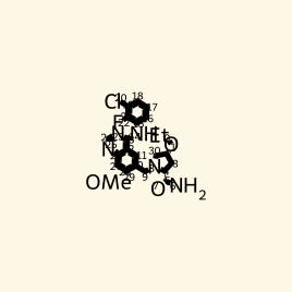 CCO[C@@H]1C[C@H](C(N)=O)N(Cc2cc3c(Nc4cccc(Cl)c4F)ncnc3cc2OC)C1